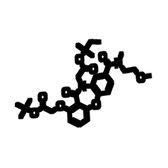 CCC(C)(C)OC(=O)CN1C(=O)c2c(OCC(=O)OC(C)(C)C)cccc2Oc2ccc(C(=O)N(C)CCOC)cc21